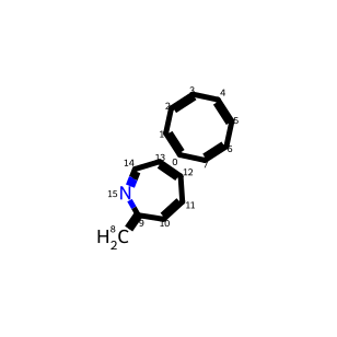 C1=CC=CC=CC=C1.C=C1C=CC=CC=N1